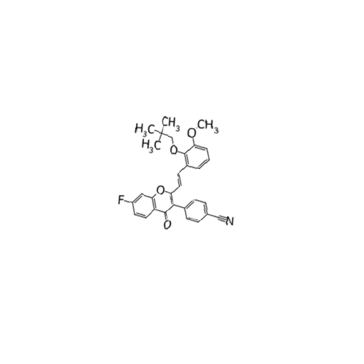 COc1cccc(/C=C/c2oc3cc(F)ccc3c(=O)c2-c2ccc(C#N)cc2)c1OCC(C)(C)C